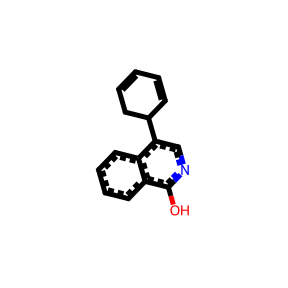 Oc1ncc(C2C=CC=CC2)c2ccccc12